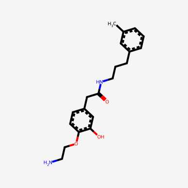 Cc1cccc(CCCNC(=O)Cc2ccc(OCCN)c(O)c2)c1